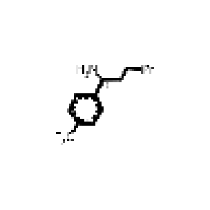 CC(C)CC[C@H](N)c1ccc(C(F)(F)F)cc1